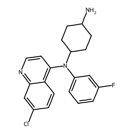 NC1CCC(N(c2cccc(F)c2)c2ccnc3cc(Cl)ccc23)CC1